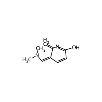 C=c1nc(O)cc/c1=C/N(C)C